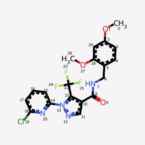 COc1ccc(CNC(=O)c2cnn(-c3cccc(Cl)n3)c2C(F)(F)F)c(OC)c1